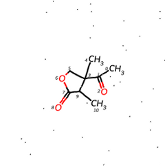 CC(=O)C1(C)COC(=O)C1C